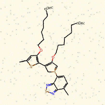 CCCCCCCCCCCCCCCCOC1=C(c2sc(C)cc2OCCCCCCCCCCCCCCCC)CS(c2ccc(C)c3nsnc23)=C1